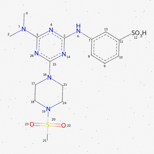 CN(C)c1nc(Nc2cccc(S(=O)(=O)O)c2)nc(N2CCN(S(C)(=O)=O)CC2)n1